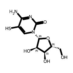 Nc1nc(=O)n([C@@H]2O[C@H](CO)[C@@H](O)[C@H]2O)cc1S